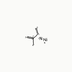 C=CC(=C)C.[Ni].[Ni]